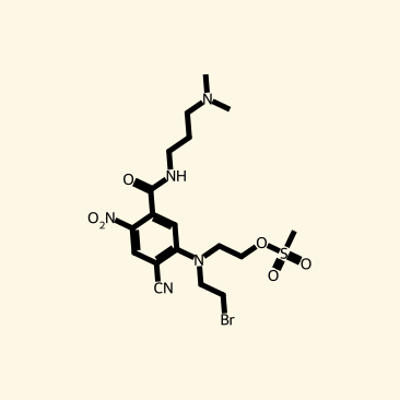 CN(C)CCCNC(=O)c1cc(N(CCBr)CCOS(C)(=O)=O)c(C#N)cc1[N+](=O)[O-]